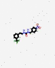 O=C(N/C=C/c1cccc(C(F)(F)F)c1)NCc1ccc([N+](=O)[O-])cc1